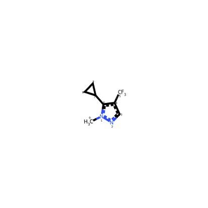 Cn1n[c]c(C(F)(F)F)c1C1CC1